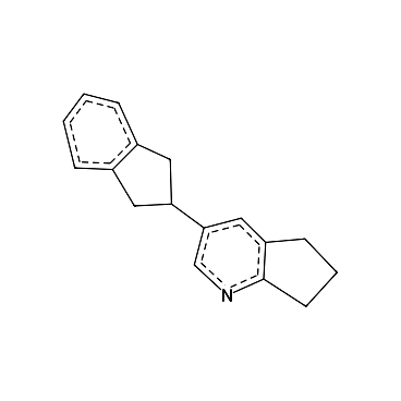 c1ccc2c(c1)CC(c1cnc3c(c1)CCC3)C2